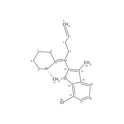 C=CCC/C(=C1\CCCC[C@H]1C)c1oc2c(Cl)cccc2c1C